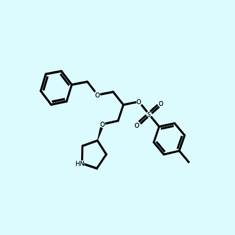 Cc1ccc(S(=O)(=O)OC(COCc2ccccc2)CO[C@H]2CCNC2)cc1